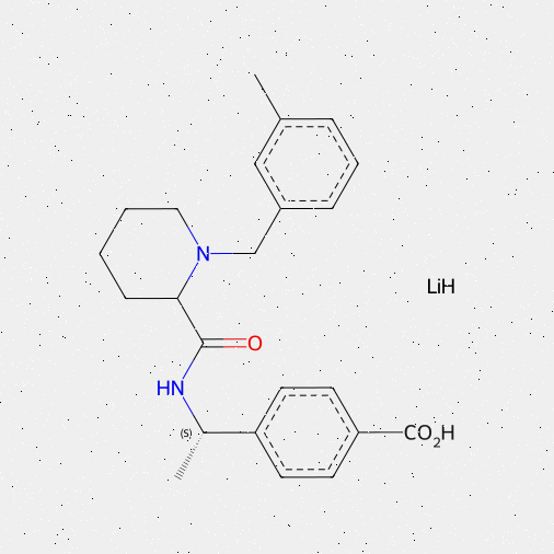 Cc1cccc(CN2CCCCC2C(=O)N[C@@H](C)c2ccc(C(=O)O)cc2)c1.[LiH]